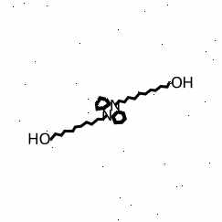 OCCCCCCCCCCCN1c2ccccc2N(CCCCCCCCCCCO)c2ccccc21